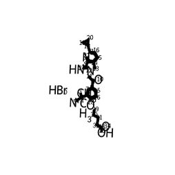 Br.CC(C)(C#N)c1cc(C(=O)CN2Cc3ccc(C4CC4)nc3C2=N)ccc1OCCCCC(=O)O